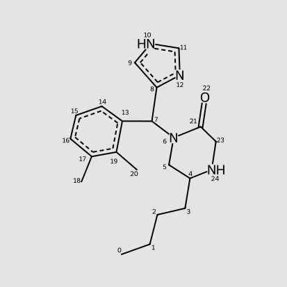 CCCCC1CN(C(c2c[nH]cn2)c2cccc(C)c2C)C(=O)CN1